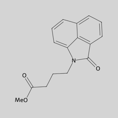 COC(=O)CCCN1C(=O)c2cccc3cccc1c23